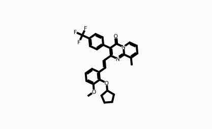 COc1cccc(/C=C/c2nc3c(C)cccn3c(=O)c2-c2ccc(C(F)(F)F)cc2)c1OC1CCCC1